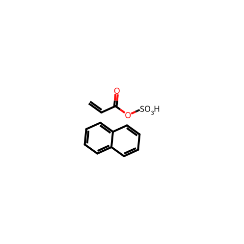 C=CC(=O)OS(=O)(=O)O.c1ccc2ccccc2c1